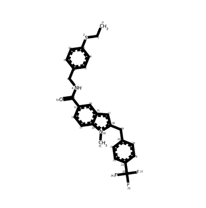 CCSc1ccc(CNC(=O)c2ccc3c(c2)cc(Cc2ccc(C(F)(F)F)cc2)n3C)cc1